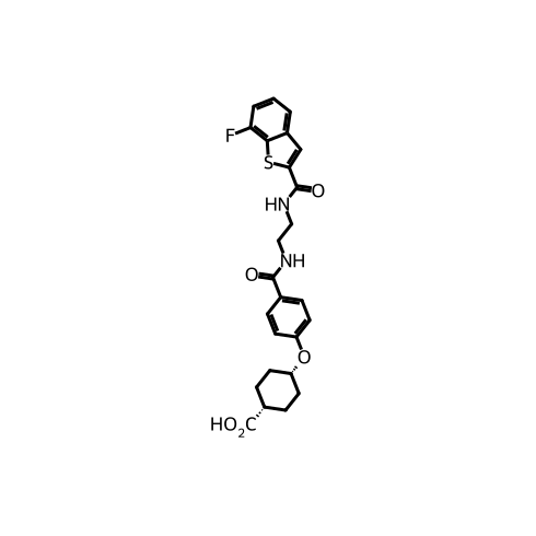 O=C(NCCNC(=O)c1cc2cccc(F)c2s1)c1ccc(O[C@H]2CC[C@@H](C(=O)O)CC2)cc1